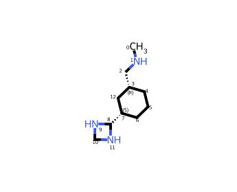 CNC[C@@H]1CCC[C@H](C2NCN2)C1